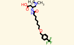 CN(C)CC(CC(=O)O)NC(=O)CCCCCCCOCc1ccc(C(F)(F)F)cc1